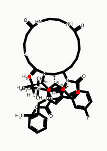 CCOC(=O)N1C[C@H](F)[C@@H](C2C(N3C(=O)C=CC3=O)CCCCC(=O)NCCNC(=O)CCSCC(=O)N2[C@@H](c2cc(-c3cc(F)ccc3F)cn2Cc2ccccc2)C(C)(C)C)C1[Si](C)(C)C